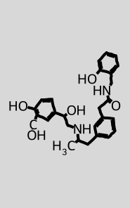 CC(Cc1cccc(CC(=O)NCc2ccccc2O)c1)NCC(O)c1ccc(O)c(CO)c1